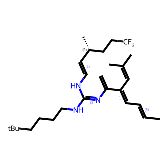 C=C(/N=C(\N/C=C/[C@H](C)CCC(F)(F)F)NCCCCC(C)(C)C)/C(C=C(C)C)=C/C=C/C